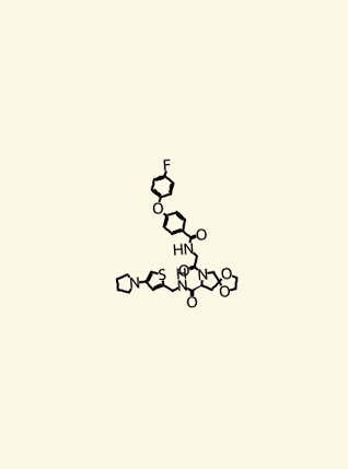 O=C(NCC(=O)N1CC2(C[C@H]1C(=O)NCc1cc(N3CCCC3)cs1)OCCO2)c1ccc(Oc2ccc(F)cc2)cc1